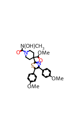 COC(=O)C1(c2nc(-c3ccc(OC)cc3)c(-c3ccc(OC)cc3)s2)CCN(C(=O)N(C)O)CC1